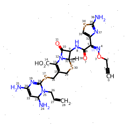 C#CCO/N=C(\C(=O)NC1C(=O)N2C(C(=O)O)=C(CSC3=NC(N)=CC(N)N3CC=C)CS[C@@H]12)c1csc(N)n1